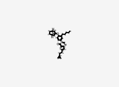 CCCCCc1cc(-n2cnc3cc(CCC4CC4)sc3c2=O)ccc1OC1C[C@H]2CC[C@@H](C1)N2C